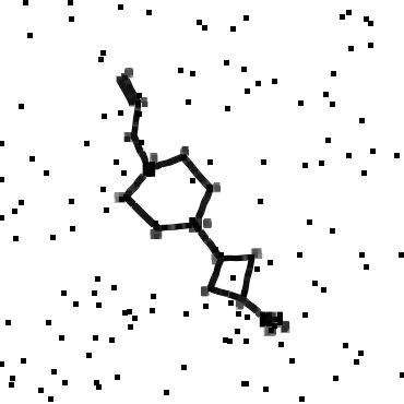 C=CCN1CCN(C2CC(N)C2)CC1